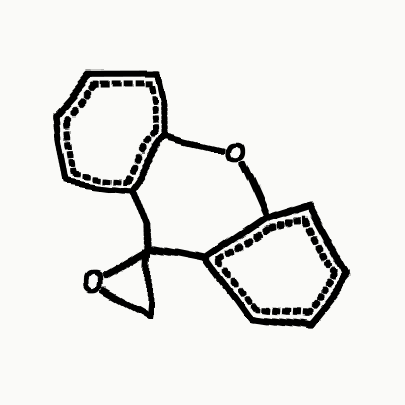 c1ccc2c(c1)Oc1ccccc1C21CO1